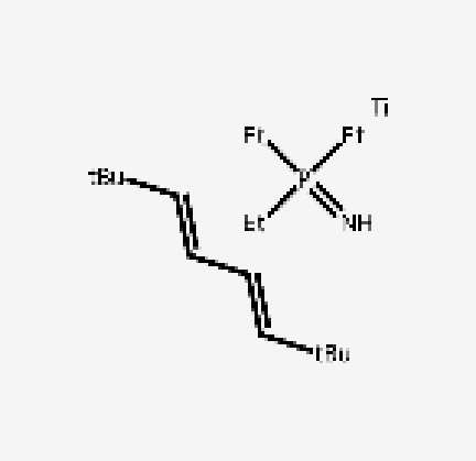 CC(C)(C)C=CC=CC(C)(C)C.CCP(=N)(CC)CC.[Ti]